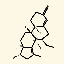 CC[C@@H]1CC2=CC(=O)CC[C@@H]2[C@H]2CC[C@@]3(C)C(=C(C)C[C@@H]3O)[C@H]12